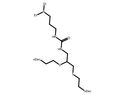 CCCCCCCCCCCCSCC(CNC(=O)NCCCN(CC)CC)SCCCCCCCCCCCC